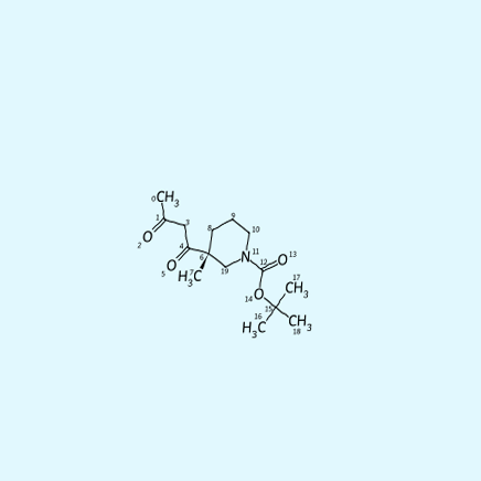 CC(=O)CC(=O)[C@]1(C)CCCN(C(=O)OC(C)(C)C)C1